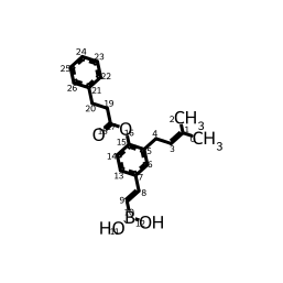 CC(C)=CCc1cc(/C=C/B(O)O)ccc1OC(=O)CCc1ccccc1